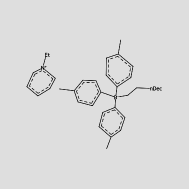 CCCCCCCCCCCC[B-](c1ccc(C)cc1)(c1ccc(C)cc1)c1ccc(C)cc1.CC[n+]1ccccc1